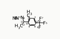 Cc1cc(C(F)(F)F)ccc1C(C)N=[N+]=[N-]